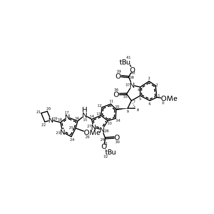 COc1ccc2c(c1)[C@]1(C[C@H]1c1ccc3c(Nc4nc(N5CCC5)ncc4OC)nn(C(=O)OC(C)(C)C)c3c1)C(=O)N2C(=O)OC(C)(C)C